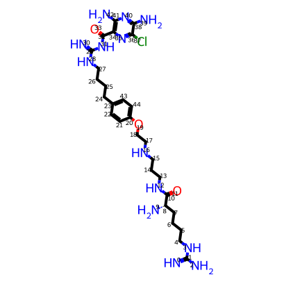 N=C(N)NCCCC[C@H](N)C(=O)NCCCNCCOc1ccc(CCCCNC(=N)NC(=O)c2nc(Cl)c(N)nc2N)cc1